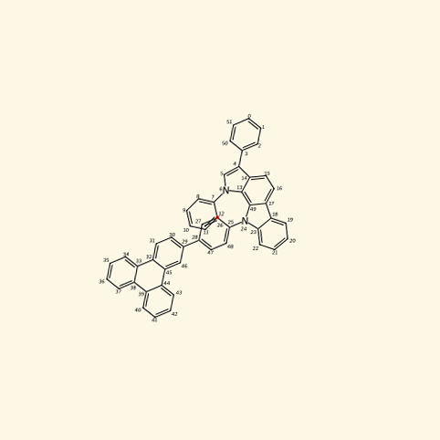 c1ccc(-c2cn(-c3ccccc3)c3c2ccc2c4ccccc4n(-c4ccc(-c5ccc6c7ccccc7c7ccccc7c6c5)cc4)c23)cc1